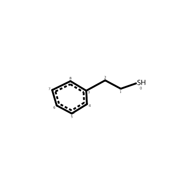 SCCc1c[c]ccc1